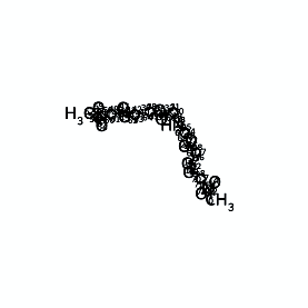 CC1=CC(=O)N(c2ccc(C(=O)CC(=O)c3cccc(C(=O)Oc4ccc(NCc5cccc(C(=O)Oc6ccc(-c7ccc(OC(=O)c8ccc(N9C(=O)C=C(C)C9=O)cc8)cc7)cc6)c5)cc4)c3)cc2)C1=O